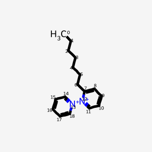 CCCCCCCc1cccc[n+]1-[n+]1ccccc1